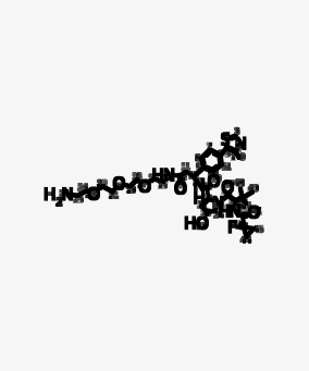 Cc1ncsc1-c1ccc([C@H](CC(=O)NCCOCCOCCOCCN)NC(=O)[C@@H]2C[C@@H](O)CN2C(=O)C(NC(=O)C2(F)CC2)C(C)(C)C)cc1